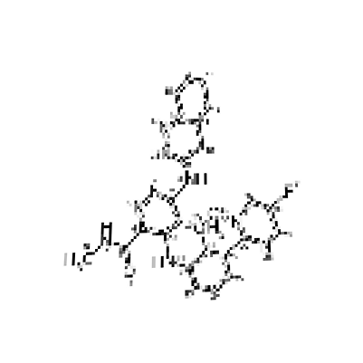 CNC(=O)c1nnc(Nc2cc3ccccc3nn2)cc1Nc1cccc(-c2ncc(F)cn2)c1OC